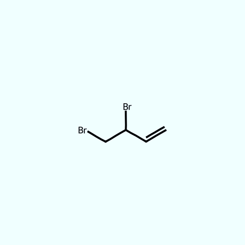 C=CC(Br)CBr